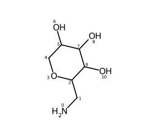 NCC1OCC(O)C(O)C1O